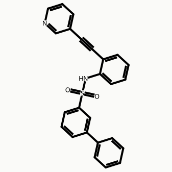 O=S(=O)(Nc1ccccc1C#Cc1cccnc1)c1cccc(-c2ccccc2)c1